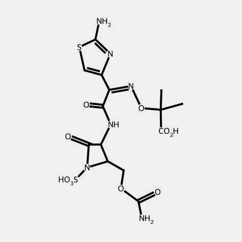 CC(C)(ON=C(C(=O)NC1C(=O)N(S(=O)(=O)O)C1COC(N)=O)c1csc(N)n1)C(=O)O